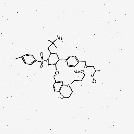 CCO[C@H](C)COCc1ccc([C@H]2C[C@H](CC(C)(C)N)N(S(=O)(=O)c3ccc(C)cc3)C[C@@H]2OCc2ccc3c(c2)N(CCCOC)CCO3)cc1